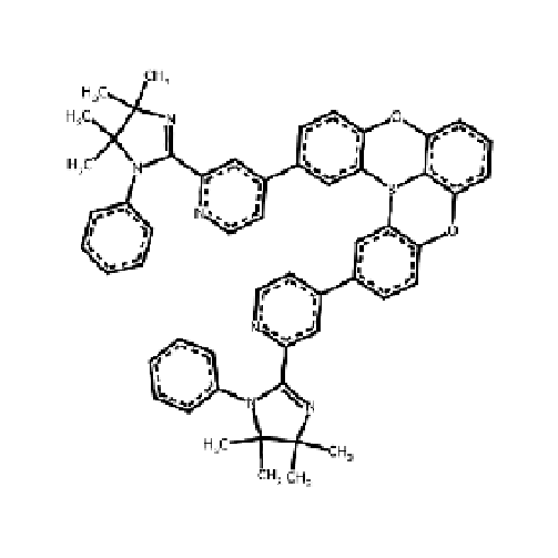 CC1(C)N=C(c2cc(-c3ccc4c(c3)B3c5cc(-c6ccnc(C7=NC(C)(C)C(C)(C)N7c7ccccc7)c6)ccc5Oc5cccc(c53)O4)ccn2)N(c2ccccc2)C1(C)C